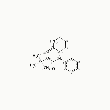 CC(C)(C)OC(=O)N(c1ccccc1)[C@H]1CCCNC1=O